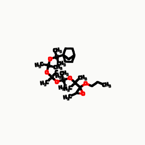 CCCOC1([Si](C)(C)O[Si](C)(C)O[Si](C)(C)O[Si](C)(C)O[Si](C)(C)C23CCC(CC2)C3)OC1C